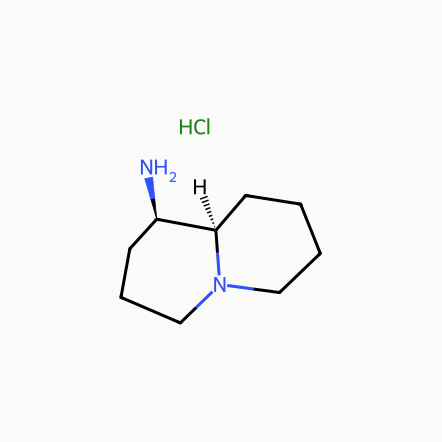 Cl.N[C@@H]1CCCN2CCCC[C@H]12